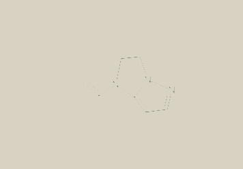 [CH]=CN1CCn2nccc21